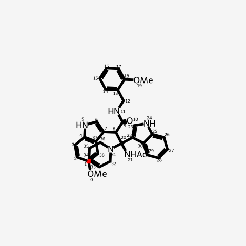 COc1ccc2[nH]cc(C(C(=O)NCc3ccccc3OC)C(NC(C)=O)(c3c[nH]c4ccccc34)N3CC=CCC3)c2c1